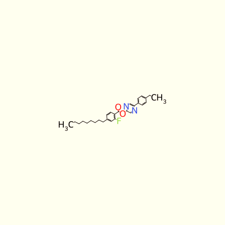 CCCCCCCCCc1ccc(C(=O)Oc2cnc(-c3ccc(CC)cc3)cn2)c(F)c1